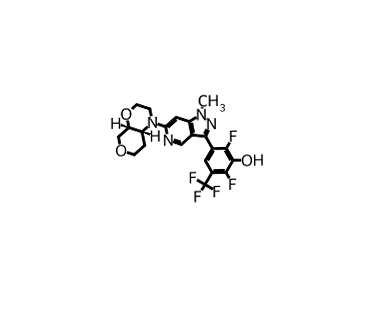 Cn1nc(-c2cc(C(F)(F)F)c(F)c(O)c2F)c2cnc(N3CCO[C@H]4COCC[C@H]43)cc21